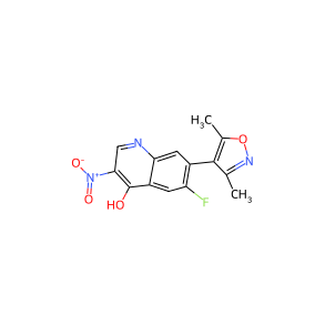 Cc1noc(C)c1-c1cc2ncc([N+](=O)[O-])c(O)c2cc1F